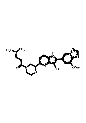 COc1cc(-c2[nH]c3ccc(C4CN(C(=O)CCN(C)C)CCO4)nc3c2C(C)C)cn2ncnc12